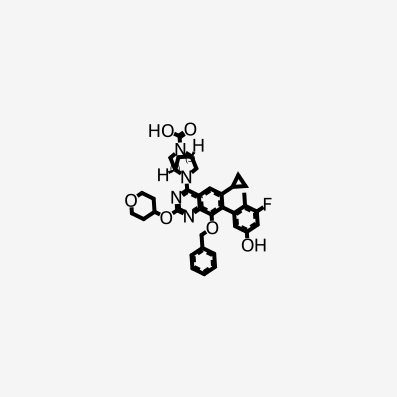 Cc1c(F)cc(O)cc1-c1c(C2CC2)cc2c(N3C[C@@H]4C[C@H]3CN4C(=O)O)nc(OC3CCOCC3)nc2c1OCc1ccccc1